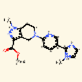 CCCCCOC(=O)c1nn(C)c2c1CN(c1ccc(-c3nccn3C)cn1)CC2